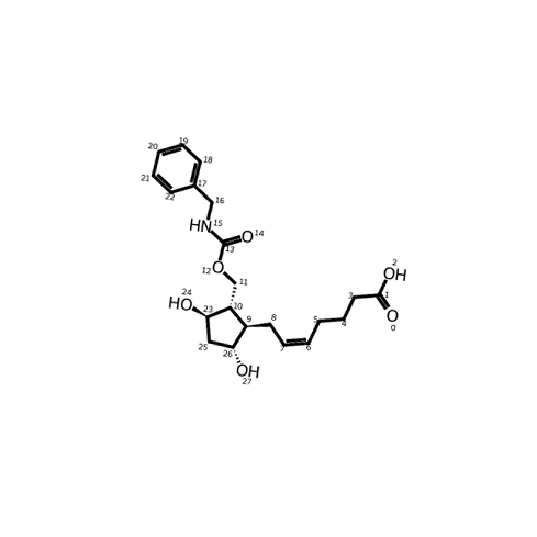 O=C(O)CCC/C=C\C[C@@H]1[C@@H](COC(=O)NCc2ccccc2)[C@H](O)C[C@H]1O